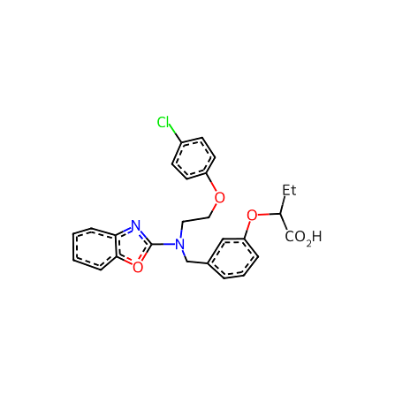 CCC(Oc1cccc(CN(CCOc2ccc(Cl)cc2)c2nc3ccccc3o2)c1)C(=O)O